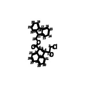 O=C(CCl)C1=CC(C(=O)OCC2c3ccccc3-c3ccccc32)c2cccc3cccc1c23